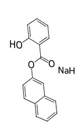 O=C(Oc1ccc2ccccc2c1)c1ccccc1O.[NaH]